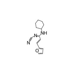 N#CN=C(C=Cc1ccco1)NC1CCCCC1